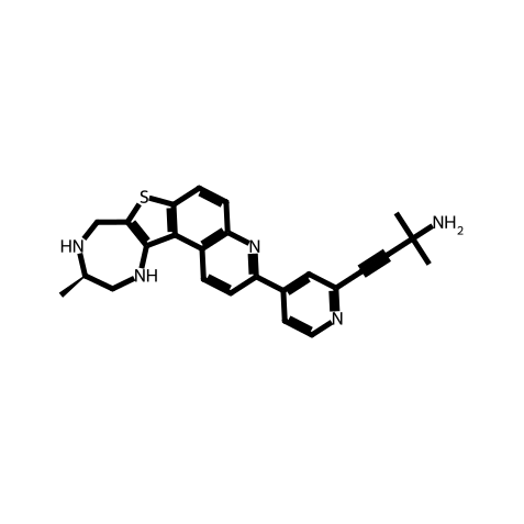 C[C@@H]1CNc2c(sc3ccc4nc(-c5ccnc(C#CC(C)(C)N)c5)ccc4c23)CN1